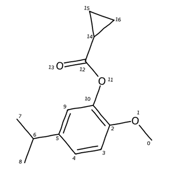 COc1ccc(C(C)C)cc1OC(=O)C1CC1